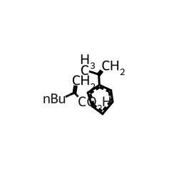 C=C(C)c1ccccc1.C=C(CCCC)C(=O)O